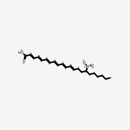 CCCCCCC(CCC=CC=CC=CC=CC=CC=CC(=O)O)[N+](=O)[O-]